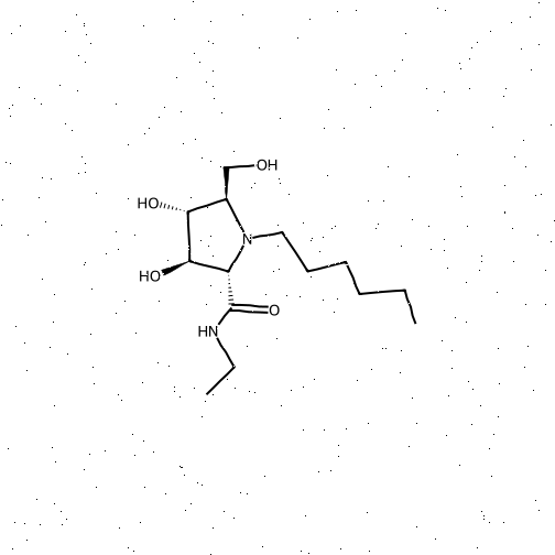 CCCCCCN1[C@H](CO)[C@@H](O)[C@H](O)[C@H]1C(=O)NCC